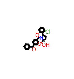 O=C(c1ccccc1)c1ccc(C(=O)N2C(c3ccccc3Cl)CC[C@H]2C(=O)O)cc1